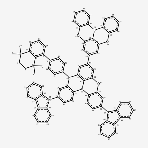 CC1(C)CCC(C)(C)c2c(-c3ccc(N4c5cc(-n6c7ccccc7c7ccccc76)ccc5B5c6ccc(-n7c8ccccc8c8ccccc87)cc6Oc6cc(-c7cc8c9c(c7)Oc7ccccc7B9c7ccccc7O8)cc4c65)cc3)cccc21